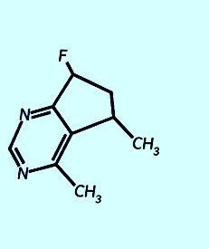 Cc1ncnc2c1C(C)CC2F